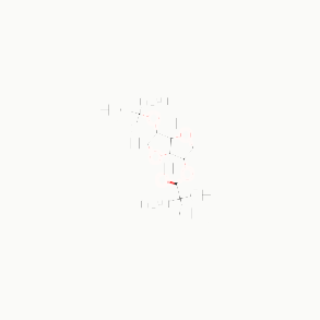 CCCCC(C)(C)OC1CO[C@@H]2C(OC(=O)C(C)(C)CCCC)CO[C@H]12